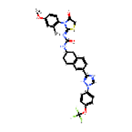 COc1ccc(N2C(=O)CS/C2=N\C(=O)NC2CCc3cc(-c4ncn(-c5ccc(OC(F)(F)F)cc5)n4)ccc3C2)c(C)c1